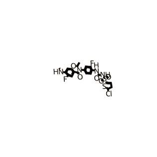 CNc1cc2c(cc1F)C(=O)N(c1ccc(NC(=O)NS(=O)(=O)C3=CCC(Cl)S3)c(F)c1)C(C)O2